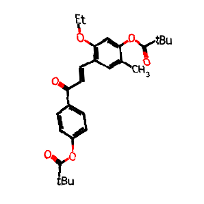 CCOc1cc(OC(=O)C(C)(C)C)c(C)cc1C=CC(=O)c1ccc(OC(=O)C(C)(C)C)cc1